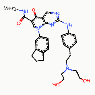 CONC(=O)c1cn(-c2ccc3c(c2)CCC3)c2nc(Nc3ccc(CCN(CCO)CCO)cc3)ncc2c1=O